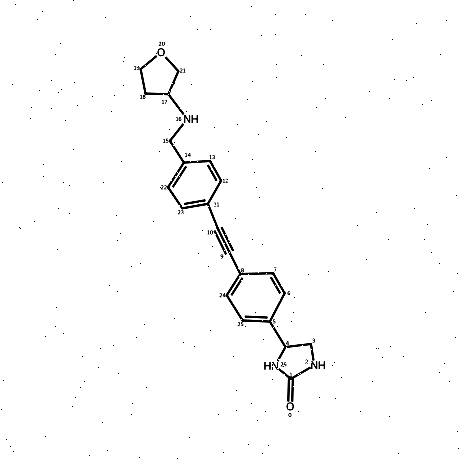 O=C1NCC(c2ccc(C#Cc3ccc(CNC4CCOC4)cc3)cc2)N1